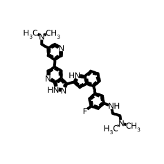 CN(C)CCNc1cc(F)cc(-c2cccc3[nH]c(-c4n[nH]c5ncc(-c6cncc(CN(C)C)c6)cc45)cc23)c1